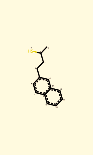 CC(S)CCc1ccc2ccccc2c1